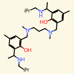 Cc1cc(CN(C)CCCN(C)Cc2cc(C)cc(C(C)NCC(C)C)c2O)c(O)c(C(C)NCC(C)C)c1